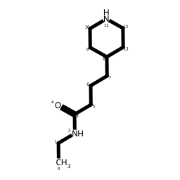 CCNC(=O)CCCC1CCNCC1